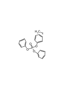 CI.O=P(Oc1ccccc1)(Oc1ccccc1)Oc1ccccc1